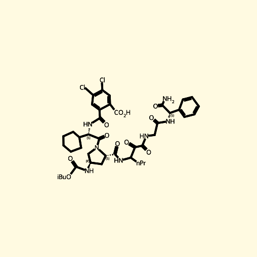 CCCC(NC(=O)[C@@H]1C[C@@H](NC(=O)OCC(C)C)CN1C(=O)[C@@H](NC(=O)c1cc(Cl)c(Cl)cc1C(=O)O)C1CCCCC1)C(=O)C(=O)NCC(=O)N[C@H](C(N)=O)c1ccccc1